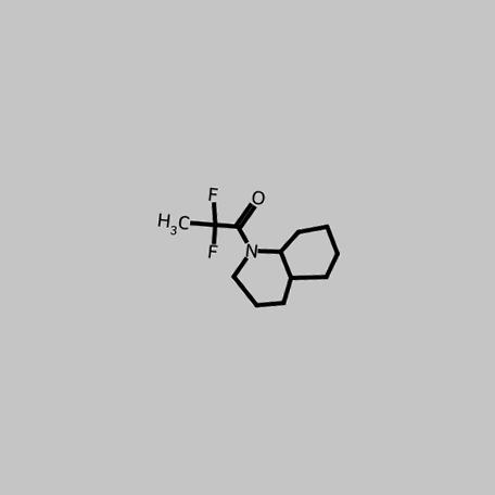 CC(F)(F)C(=O)N1CCCC2CCCCC21